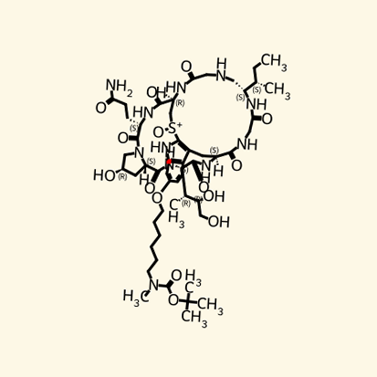 CC[C@H](C)[C@H]1CNCC(=O)N[C@H]2C[S+]([O-])c3[nH]c4cc(OCCCCCCN(C)C(=O)OC(C)(C)C)ccc4c3C[C@H](NC(=O)[C@H]([C@@H](C)[C@@H](O)CO)NC(=O)[C@@H]3C[C@@H](O)CN3C(=O)[C@H](CCC(N)=O)NC2=O)C(=O)NCC(=O)N1